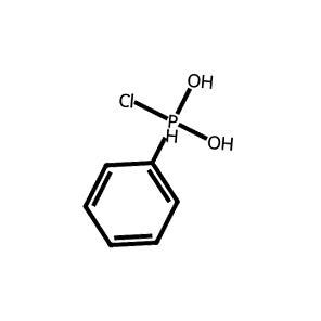 O[PH](O)(Cl)c1ccccc1